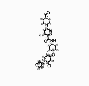 [2H]c1cc(N2CCC(C=O)CC2)nnc1C(=O)NC1CCC(Oc2ccc(-c3ncon3)c(Cl)c2)CC1